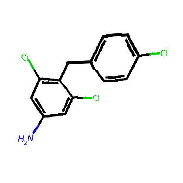 Nc1cc(Cl)c(Cc2ccc(Cl)cc2)c(Cl)c1